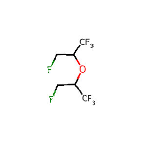 FCC(OC(CF)C(F)(F)F)C(F)(F)F